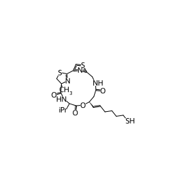 CC(C)C1NC(=O)[C@]2(C)CSC(=N2)c2csc(n2)CNC(=O)C[C@@H](/C=C/CCCCS)OC1=O